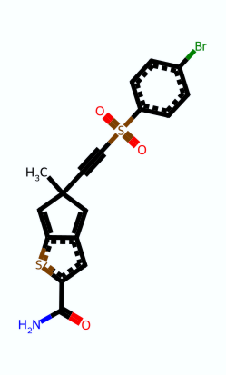 CC1(C#CS(=O)(=O)c2ccc(Br)cc2)C=c2cc(C(N)=O)sc2=C1